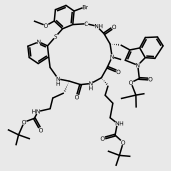 COc1ccc(Br)c2c1Sc1ncccc1CN[C@@H](CCCNC(=O)OC(C)(C)C)C(=O)N[C@@H](CCCCNC(=O)OC(C)(C)C)C(=O)N(C)[C@@H](Cc1cn(C(=O)OC(C)(C)C)c3ccccc13)C(=O)NC2